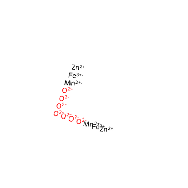 [Fe+3].[Fe+3].[Mn+2].[Mn+2].[O-2].[O-2].[O-2].[O-2].[O-2].[O-2].[O-2].[Zn+2].[Zn+2]